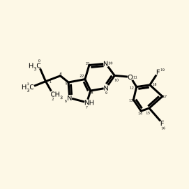 CC(C)(C)Cc1n[nH]c2nc(Oc3ccc(F)cc3F)ncc12